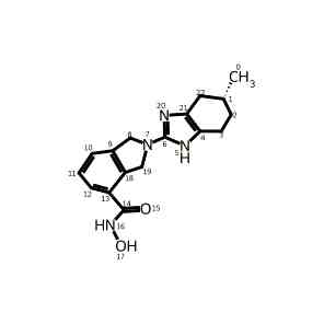 C[C@@H]1CCc2[nH]c(N3Cc4cccc(C(=O)NO)c4C3)nc2C1